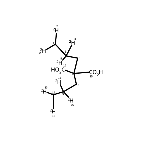 [2H]C([2H])C([2H])([2H])CC(CC([2H])([2H])C([2H])[2H])(C(=O)O)C(=O)O